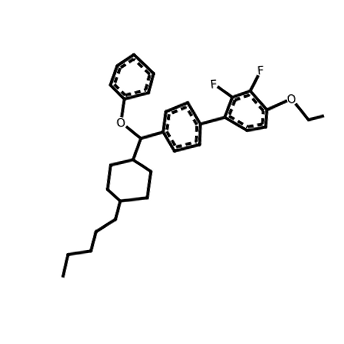 CCCCCC1CCC(C(Oc2ccccc2)c2ccc(-c3ccc(OCC)c(F)c3F)cc2)CC1